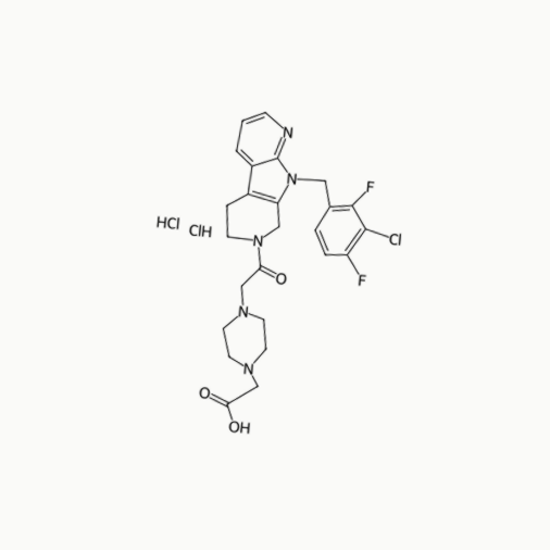 Cl.Cl.O=C(O)CN1CCN(CC(=O)N2CCc3c(n(Cc4ccc(F)c(Cl)c4F)c4ncccc34)C2)CC1